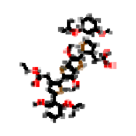 CCOC(=O)Cc1cc(-c2c(OC)cccc2OC(C)C)sc1-c1sc2c(OC)c(-c3sc(-c4c(OC)cccc4OC(C)C)cc3CC(=O)O)sc2c1OC